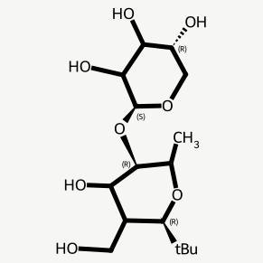 CC1O[C@@H](C(C)(C)C)C(CO)C(O)[C@H]1O[C@@H]1OC[C@@H](O)C(O)C1O